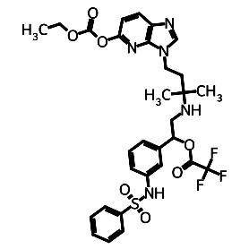 CCOC(=O)Oc1ccc2ncn(CCC(C)(C)NCC(OC(=O)C(F)(F)F)c3cccc(NS(=O)(=O)c4ccccc4)c3)c2n1